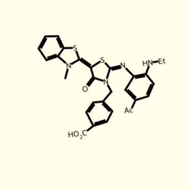 CCNc1ccc(C(C)=O)cc1/N=C1/S/C(=C2\Sc3ccccc3N2C)C(=O)N1Cc1ccc(C(=O)O)cc1